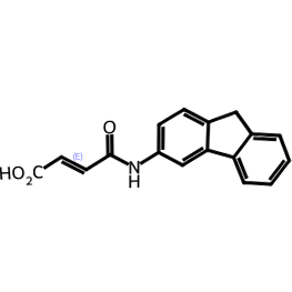 O=C(O)/C=C/C(=O)Nc1ccc2c(c1)-c1ccccc1C2